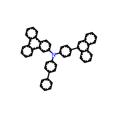 c1ccc(-c2ccc(N(c3ccc(-c4cc5ccccc5c5ccccc45)cc3)c3ccc4c5ccccc5c5ccccc5c4c3)cc2)cc1